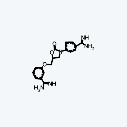 N=C(N)c1ccc(N2CC(COc3cccc(C(=N)N)c3)OC2=O)cc1